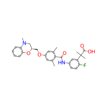 Cc1cc(OC[C@@H]2CN(C)c3ccccc3O2)cc(C)c1C(=O)Nc1ccc(F)c(C(C)(C)C(=O)O)c1